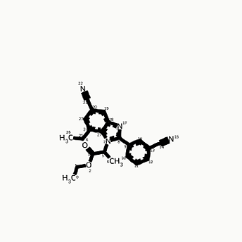 CCOC(=O)C(C)n1c(-c2cccc(C#N)c2)nc2cc(C#N)cc(CC)c21